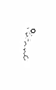 O=C(CCC1CCNCC1)NCCC(=O)NC[C@H](NS(=O)(=O)c1ccccc1OC(F)(F)F)C(=O)O